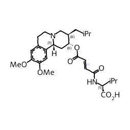 COc1cc2c(cc1OC)[C@H]1C[C@@H](OC(=O)/C=C/C(=O)N[C@H](C(=O)O)C(C)C)[C@H](CC(C)C)CN1CC2